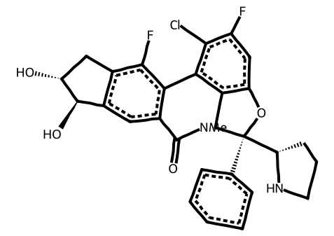 CNC(=O)c1cc2c(c(F)c1-c1c(Cl)c(F)cc3c1C[C@](c1ccccc1)([C@@H]1CCCN1)O3)C[C@@H](O)[C@@H]2O